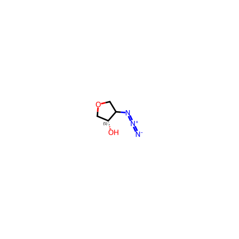 [N-]=[N+]=NC1COC[C@H]1O